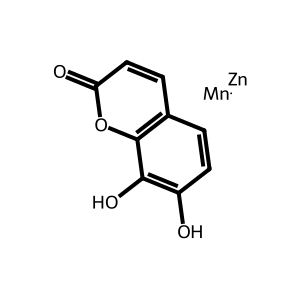 O=c1ccc2ccc(O)c(O)c2o1.[Mn].[Zn]